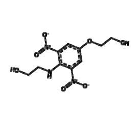 O=[N+]([O-])c1cc(OCCO)cc([N+](=O)[O-])c1NCCO